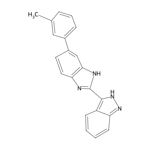 Cc1cccc(-c2ccc3nc(-c4[nH]nc5ccccc45)[nH]c3c2)c1